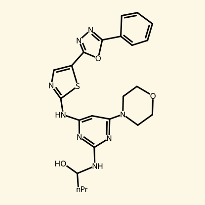 CCCC(O)Nc1nc(Nc2ncc(-c3nnc(-c4ccccc4)o3)s2)cc(N2CCOCC2)n1